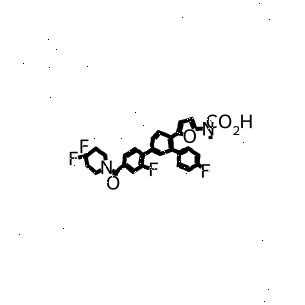 CN(C(=O)O)c1ccc(-c2ccc(-c3ccc(C(=O)N4CCC(F)(F)CC4)cc3F)cc2-c2ccc(F)cc2)o1